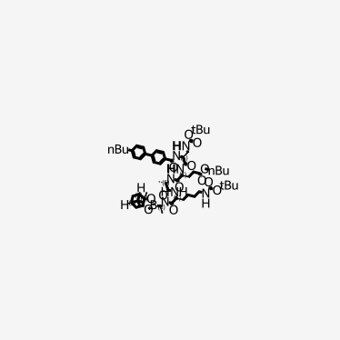 CCCCOC(=O)CC[C@H](NC(=O)[C@H](CNC(=O)OC(C)(C)C)NC(=O)c1ccc(-c2ccc(CCCC)cc2)cc1)C(=O)N[C@@H](C)C(=O)N[C@@H](CCCCNC(=O)OC(C)(C)C)C(=O)N[C@@H](C)B1OC2C[C@@H]3C[C@@H](C3(C)C)[C@]2(C)O1